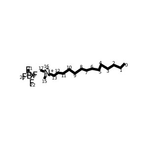 CCCCCCCCCCCCCC[N+](C)(C)C.F[B-](F)(F)F